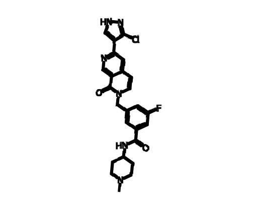 CN1CCC(NC(=O)c2cc(F)cc(Cn3ccc4cc(-c5c[nH]nc5Cl)ncc4c3=O)c2)CC1